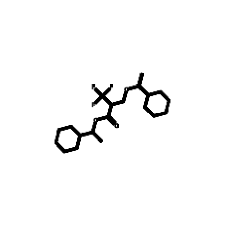 CC(OCC(C(=O)OC(C)C1CCCCC1)C(F)(F)F)C1CCCCC1